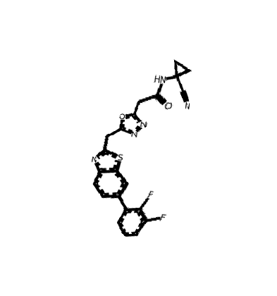 N#CC1(NC(=O)Cc2nnc(Cc3nc4ccc(-c5cccc(F)c5F)cc4s3)o2)CC1